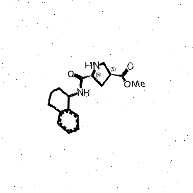 COC(=O)[C@@H]1CN[C@H](C(=O)NC2CCCc3ccccc32)C1